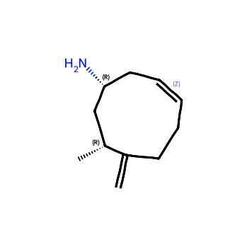 C=C1CC/C=C\C[C@@H](N)C[C@H]1C